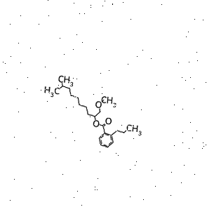 CCCc1ccccc1C(=O)OC(CCCCCCC(C)C)COC